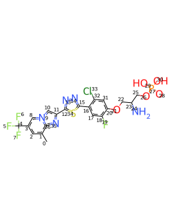 Cc1cc(C(F)(F)F)cn2cc(-c3nnc(-c4cc(F)c(OCC(N)COP(=O)(O)O)cc4Cl)s3)nc12